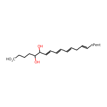 CCCCCC=CCC=CC=CC=CC(O)C(O)CCCC(=O)O